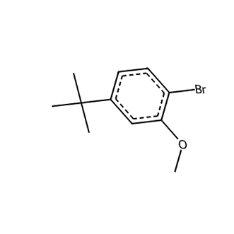 COc1cc(C(C)(C)C)ccc1Br